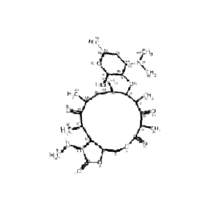 CON1C(=O)OC2COC(=O)C(C)C(=O)C(C)C(O[C@H]3C(O)O[C@H](C)C[C@@H]3N(C)C)C(C)CC(C)C(=O)C(C)C21